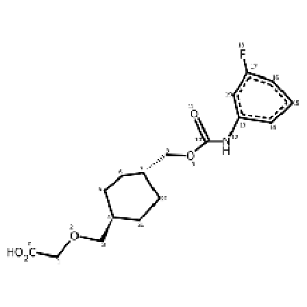 O=C(O)COC[C@H]1CC[C@H](COC(=O)Nc2cccc(F)c2)CC1